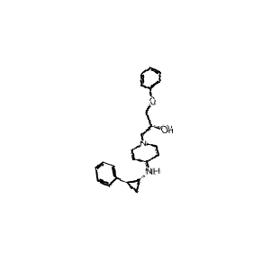 O[C@H](COc1ccccc1)CN1CCC(N[C@@H]2C[C@H]2c2ccccc2)CC1